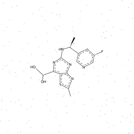 Cc1nc2nc(N[C@@H](C)c3cncc(F)c3)nc(C(O)O)c2s1